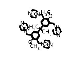 COc1c(C[N+]23CCN(CC2)CC3)cc(C(C)(C)c2cc(C[N+]34CCN(CC3)CC4)c(OC)c(C[N+]34CCN(CC3)CC4)c2)cc1C[N+]12CCN(CC1)CC2